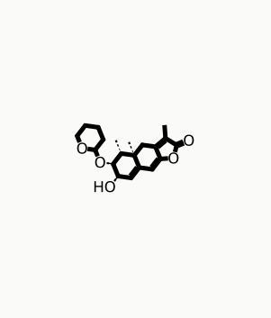 CC1=C2C[C@@]3(C)C(=C[C@H](O)[C@H](OC4CCCCO4)[C@@H]3C)C=C2OC1=O